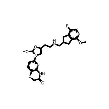 COc1ncc(F)c2c1CC(CNCCC1CN(c3ccc4c(n3)NC(=O)CO4)C(O)O1)C2